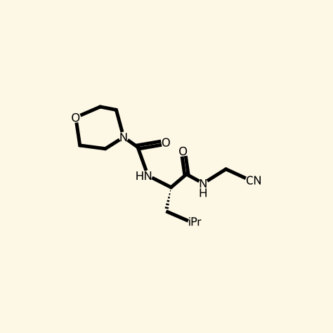 CC(C)C[C@H](NC(=O)N1CCOCC1)C(=O)NCC#N